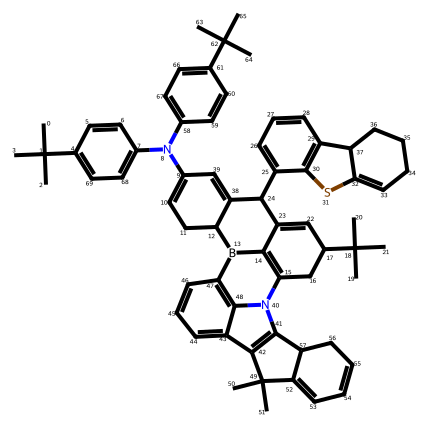 CC(C)(C)c1ccc(N(C2=CCC3B4C5=C(CC(C(C)(C)C)C=C5C(c5cccc6c5SC5=CCCCC56)C3=C2)n2c3c(c5cccc4c52)C(C)(C)C2=CC=CCC23)c2ccc(C(C)(C)C)cc2)cc1